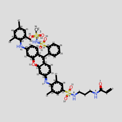 C=CC(=O)NCCCNS(=O)(=O)c1cc(C)c(/N=c2\ccc3c(-c4ccccc4S(=O)(=O)NS(=O)(=O)C(F)(F)F)c4ccc(Nc5c(C)cc(C)cc5C)cc4oc-3c2)c(C)c1